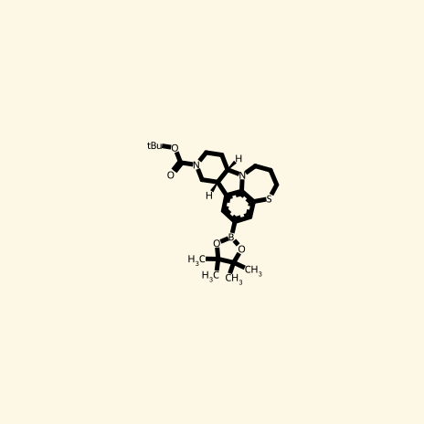 CC(C)(C)OC(=O)N1CC[C@H]2[C@@H](C1)c1cc(B3OC(C)(C)C(C)(C)O3)cc3c1N2CCCS3